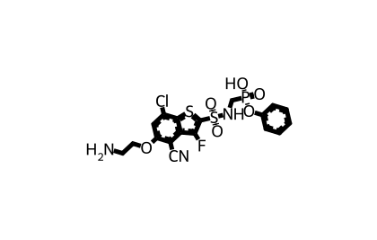 N#Cc1c(OCCN)cc(Cl)c2sc(S(=O)(=O)NCP(=O)(O)Oc3ccccc3)c(F)c12